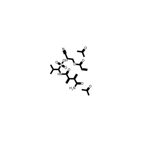 C=C(C(=C)C(=O)NC(C(C)C)S(=O)(=O)O)C(N)=O.C=CC(=O)OCCC#N.CC(C)=O.CC(C)=O